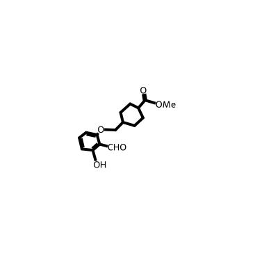 COC(=O)C1CCC(COc2cccc(O)c2C=O)CC1